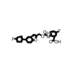 O=C(Nc1ccc(F)cc1C(=O)O)OCc1cc2cc(-c3ccc(F)cc3)ccc2o1